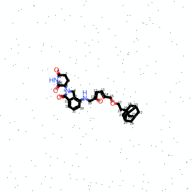 O=C1CCC(N2Cc3c(NCc4ccc(COCCC56CC7CC(CC(C7)C5)C6)o4)cccc3C2=O)C(=O)N1